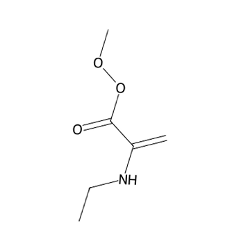 C=C(NCC)C(=O)OOC